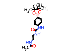 CC(=O)NCCNC(=O)Nc1ccc(B2OC(C)(C)C(C)(C)O2)cc1